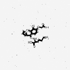 NCCCCC(N)C(=O)O.O=C(O)COc1ccc(C(=O)c2cccs2)c(Cl)c1Cl